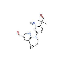 CC(C)(C=O)c1ccc(N2CCC3CC3c3cc(C=O)cnc32)cc1N